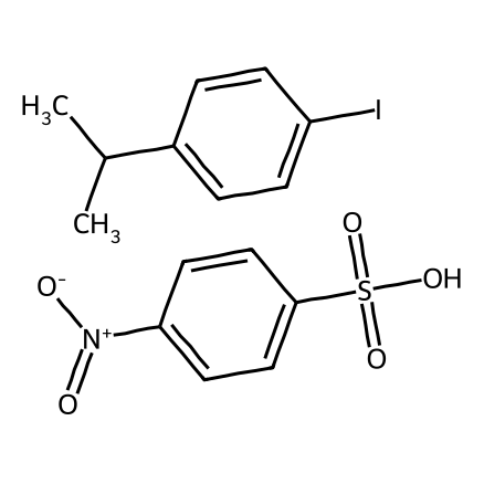 CC(C)c1ccc(I)cc1.O=[N+]([O-])c1ccc(S(=O)(=O)O)cc1